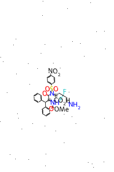 COC(=O)N[C@H](C(=O)N([C@@H](CC(F)(F)CCN)C(=O)O)S(=O)(=O)c1ccc([N+](=O)[O-])cc1)C(c1ccccc1)c1ccccc1